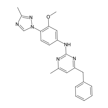 COc1cc(Nc2nc(C)cc(Cc3ccccc3)n2)ccc1-n1cnc(C)n1